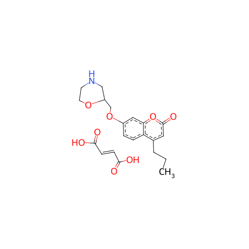 CCCc1cc(=O)oc2cc(OCC3CNCCO3)ccc12.O=C(O)C=CC(=O)O